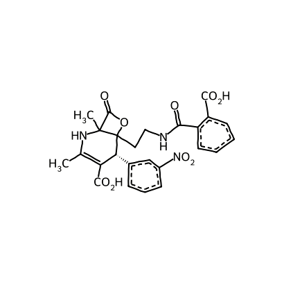 CC1=C(C(=O)O)[C@@H](c2cccc([N+](=O)[O-])c2)C2(CCNC(=O)c3ccccc3C(=O)O)OC(=O)C2(C)N1